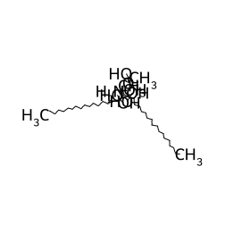 CC(=O)O.CCCCCCCCCCCCCCCCCC(O)(O)C(C(C)(N)O)C(O)(O)CCCCCCCCCCCCCCCCC